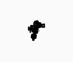 Cc1ccc([S@+]([O-])CC(O)(CC(C)(C)c2cc(Cl)cc3c2OCC3)C(F)(F)F)cc1